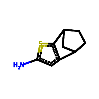 Nc1cc2c(s1)C1CCC2C1